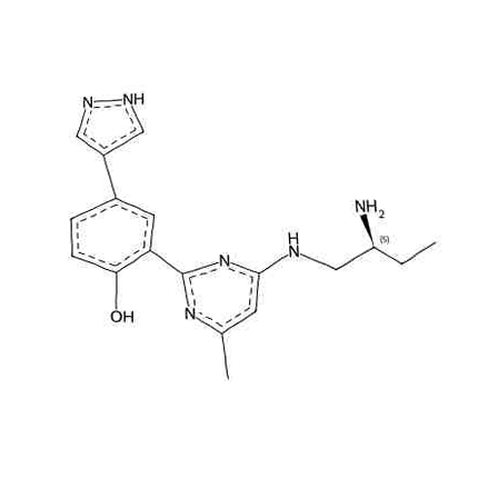 CC[C@H](N)CNc1cc(C)nc(-c2cc(-c3cn[nH]c3)ccc2O)n1